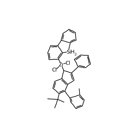 Cc1ccccc1-c1c(C(C)(C)C)ccc2c1C=C(c1ccccc1)[CH]2[Zr]([Cl])([Cl])[c]1cccc2c1[SiH2]c1ccccc1-2